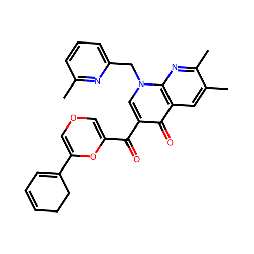 Cc1cccc(Cn2cc(C(=O)C3=COC=C(C4=CC=CCC4)O3)c(=O)c3cc(C)c(C)nc32)n1